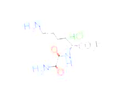 Cl.NCCCC[C@H](NC(=O)C(N)=O)C(=O)O